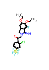 CCOc1cc2c(c(F)c1OCC)C(=N)N(CC(=O)c1ccc(S(F)(F)(F)(F)F)cc1Cl)C2